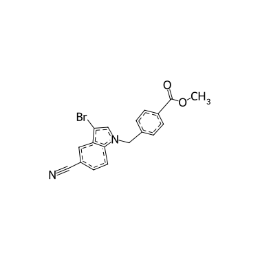 COC(=O)c1ccc(Cn2cc(Br)c3cc(C#N)ccc32)cc1